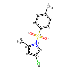 Cc1ccc(S(=O)(=O)n2cc(Cl)cc2C)cc1